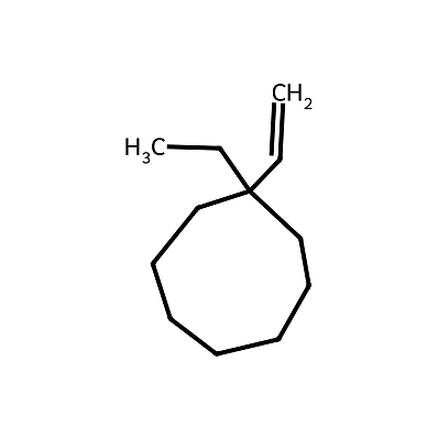 C=CC1(CC)CCCCCCC1